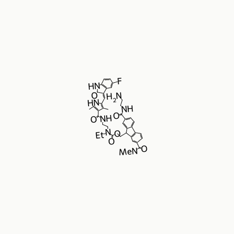 CCN(CCNC(=O)c1c(C)[nH]c(/C=C2\C(=O)Nc3ccc(F)cc32)c1C)C(=O)OCC1c2cc(C(=O)NC)ccc2-c2ccc(C(=O)NCCN)cc21